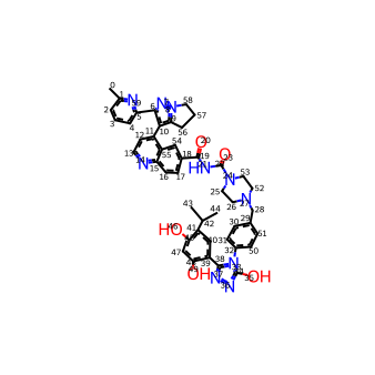 Cc1cccc(-c2nn3c(c2-c2ccnc4ccc(C(=O)NC(=O)N5CCN(Cc6ccc(-n7c(O)nnc7-c7cc(C(C)C)c(O)cc7O)cc6)CC5)cc24)CCC3)n1